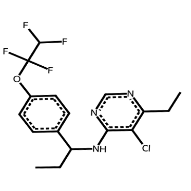 CCc1ncnc(NC(CC)c2ccc(OC(F)(F)C(F)F)cc2)c1Cl